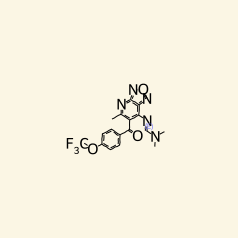 Cc1nc2nonc2c(/N=C/N(C)C)c1C(=O)c1ccc(OC(F)(F)F)cc1